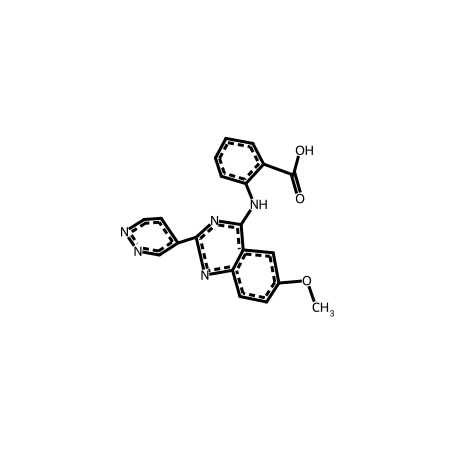 COc1ccc2nc(-c3ccnnc3)nc(Nc3ccccc3C(=O)O)c2c1